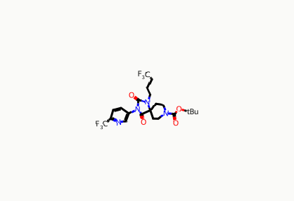 CC(C)(C)OC(=O)N1CCC2(CC1)C(=O)N(c1ccc(C(F)(F)F)nc1)C(=O)N2CCCC(F)(F)F